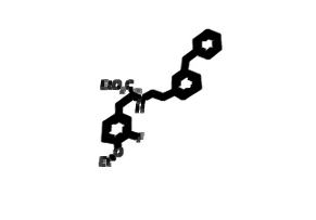 CCOC(=O)[C@@H](Cc1ccc(OCC)c(F)c1)NCCc1cccc(Cc2ccccc2)c1